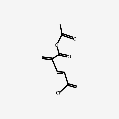 C=C(Cl)C=CC(=C)C(=O)OC(C)=O